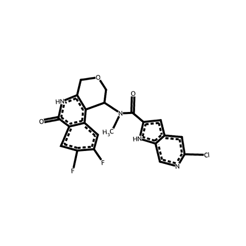 CN(C(=O)c1cc2cc(Cl)ncc2[nH]1)C1COCc2[nH]c(=O)c3cc(F)c(F)cc3c21